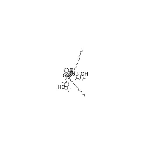 CCCCCCCCCCCCN(Cc1c(C)cc(C(C)(C)C)c(O)c1C)S(=O)(=O)c1ccccc1S(=O)(=O)N(CCCCCCCCCCCC)Cc1c(C)cc(C(C)(C)C)c(O)c1C